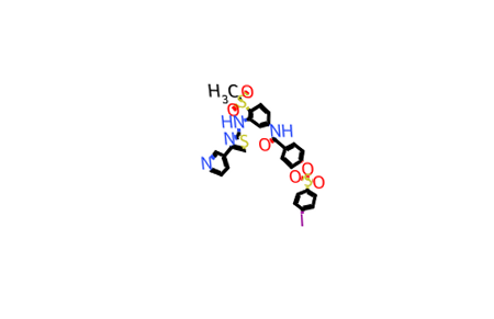 CS(=O)(=O)c1ccc(NC(=O)c2ccc(OS(=O)(=O)c3ccc(I)cc3)cc2)cc1Nc1nc(-c2cccnc2)cs1